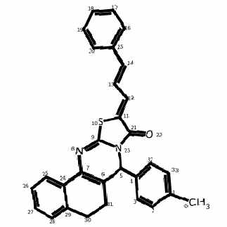 Cc1ccc(C2C3=C(N=c4s/c(=C\C=C\c5ccccc5)c(=O)n42)c2ccccc2CC3)cc1